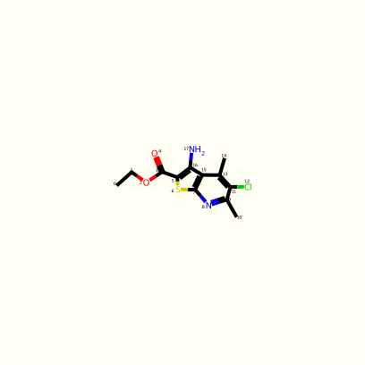 CCOC(=O)c1sc2nc(C)c(Cl)c(C)c2c1N